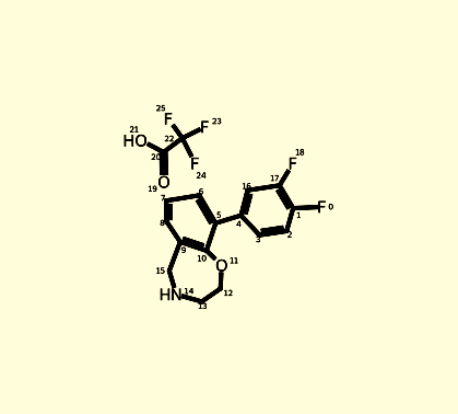 Fc1ccc(-c2cccc3c2OCCNC3)cc1F.O=C(O)C(F)(F)F